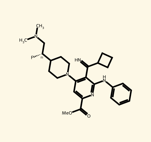 COC(=O)c1cc(N2CCC([C@H](F)CN(C)C)CC2)c(C(=N)C2CCC2)c(Nc2ccccc2)n1